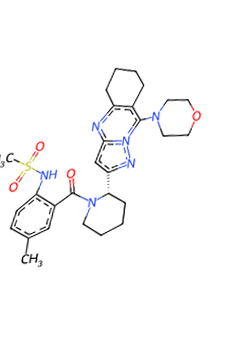 Cc1ccc(NS(C)(=O)=O)c(C(=O)N2CCCC[C@H]2c2cc3nc4c(c(N5CCOCC5)n3n2)CCCC4)c1